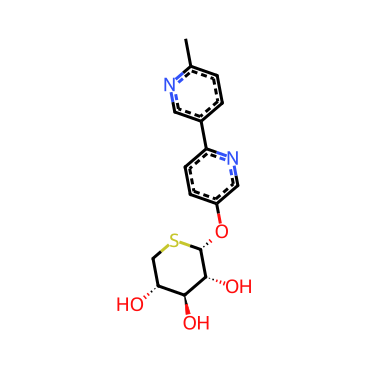 Cc1ccc(-c2ccc(O[C@H]3SC[C@@H](O)[C@H](O)[C@H]3O)cn2)cn1